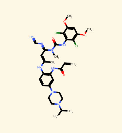 C=CC(=O)Nc1cc(N2CCN(C(C)C)CC2)ccc1N/C(C)=C/C(=N\C=N)N(C)C(=O)Nc1c(Cl)c(OC)cc(OC)c1Cl